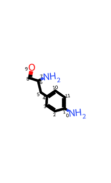 Nc1ccc(CC(N)[C]=O)cc1